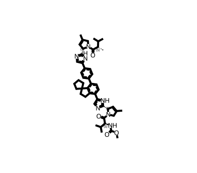 COC(=O)N[C@H](C(=O)N1CC(C)=C[C@H]1c1ncc(-c2ccc(-c3ccc(-c4cnc([C@@H]5C=C(C)CN5C(=O)[C@@H](C)C(C)C)[nH]4)cc3)c3c2CCC32CCCC2)[nH]1)C(C)C